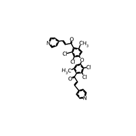 Cc1cc(Oc2cc(C)c(C(=O)C=Cc3ccncc3)c(Cl)c2Cl)c(Cl)c(Cl)c1C(=O)C=Cc1ccncc1